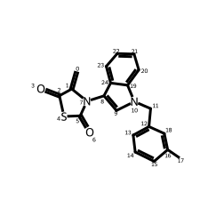 C=C1C(=O)SC(=O)N1c1cn(Cc2cccc(C)c2)c2ccccc12